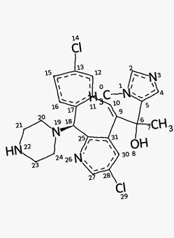 Cn1cncc1C(C)(O)C1=Cc2cc(Cl)ccc2[C@H](N2CCNCC2)c2ncc(Cl)cc21